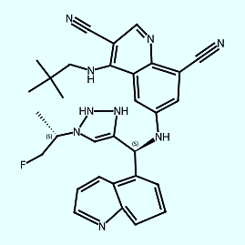 C[C@@H](CF)N1C=C([C@@H](Nc2cc(C#N)c3ncc(C#N)c(NCC(C)(C)C)c3c2)c2cccc3ncccc23)NN1